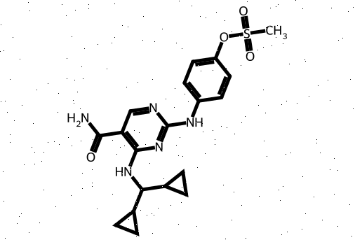 CS(=O)(=O)Oc1ccc(Nc2ncc(C(N)=O)c(NC(C3CC3)C3CC3)n2)cc1